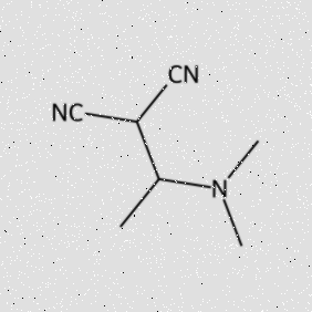 CC(C(C#N)C#N)N(C)C